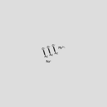 CC(=O)[O-].CC(=O)[O-].CC(=O)[O-].[Na+].[Pb+2]